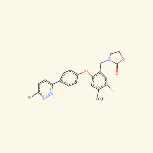 CC(C)c1ccc(-c2ccc(Oc3cc(C(=O)O)c(F)cc3CN3CCOC3=O)cc2)nn1